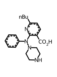 CCCCc1ccc(C(=O)O)c(N(c2ccccc2)N2CCNCC2)n1